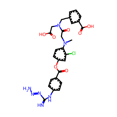 CN(CC(=O)N(CC(=O)O)Cc1cccc(C(=O)O)c1)c1ccc(OC(=O)c2ccc(NC(=N)N=NN)cc2)cc1Cl